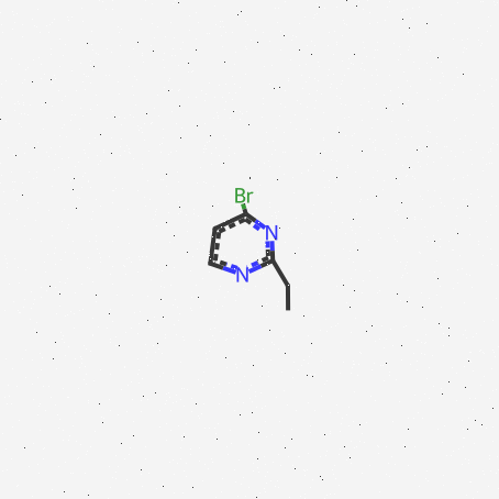 CCc1nccc(Br)n1